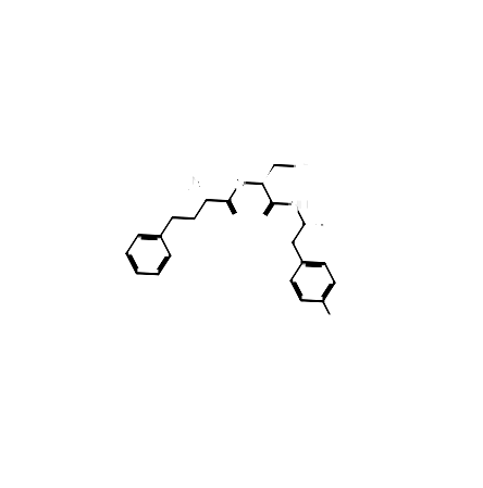 CC(C)C[C@H](NC(=O)[C@@H](N)CCc1ccccc1)C(=O)N[C@@H](Cc1ccc(F)cc1)C(=O)O